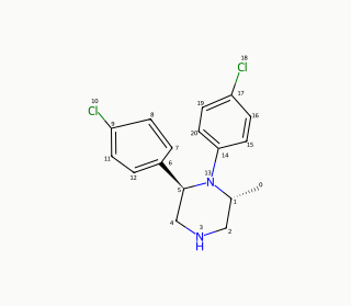 C[C@@H]1CNC[C@@H](c2ccc(Cl)cc2)N1c1ccc(Cl)cc1